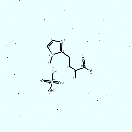 CC(CCc1nccn1C)C(=O)O.O=S(=O)(O)O